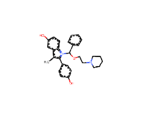 Cc1c(-c2ccc(O)cc2)n(C(OCCN2CCCCC2)c2ccccc2)c2ccc(O)cc12